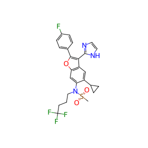 CS(=O)(=O)N(CCCC(F)(F)F)c1cc2oc(-c3ccc(F)cc3)c(-c3ncc[nH]3)c2cc1C1CC1